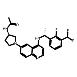 CC(=O)N[C@@H]1CCN(c2ccc3nccc(N[C@H](C)c4cccc(C(F)F)c4F)c3c2)C1